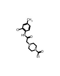 CCC(=O)N1CCN(CC(=O)Nc2ccc(C)cc2Cl)CC1